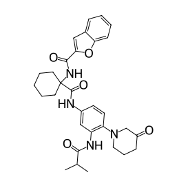 CC(C)C(=O)Nc1cc(NC(=O)C2(NC(=O)c3cc4ccccc4o3)CCCCC2)ccc1N1CCCC(=O)C1